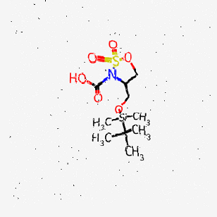 CC(C)(C)[Si](C)(C)OCC1COS(=O)(=O)N1C(=O)O